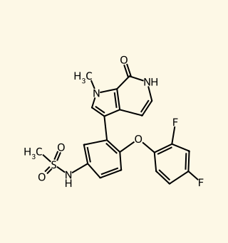 Cn1cc(-c2cc(NS(C)(=O)=O)ccc2Oc2ccc(F)cc2F)c2cc[nH]c(=O)c21